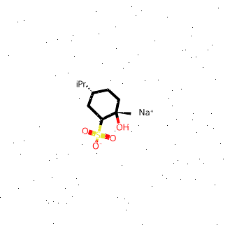 CC(C)[C@@H]1CC[C@](C)(O)C(S(=O)(=O)[O-])C1.[Na+]